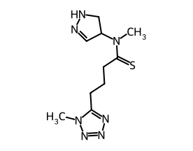 CN(C(=S)CCCc1nnnn1C)C1C=NNC1